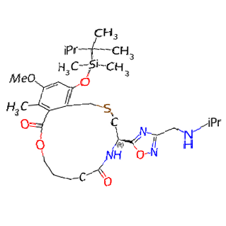 COc1cc(O[Si](C)(C)C(C)(C)C(C)C)c2c(c1C)C(=O)OCCCCC(=O)N[C@H](c1nc(CNC(C)C)no1)CSC2